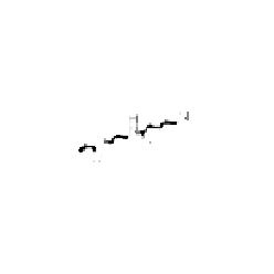 C=CC(=O)OCCCNC(=O)CCCCS